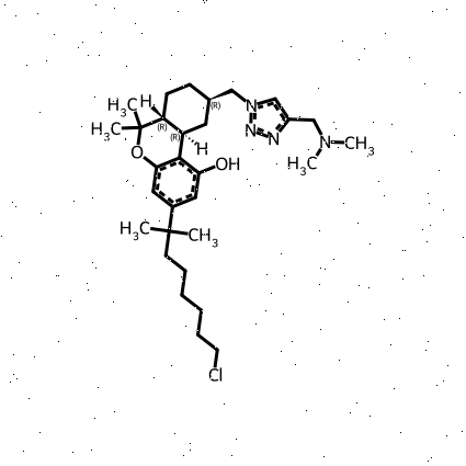 CN(C)Cc1cn(C[C@@H]2CC[C@@H]3[C@@H](C2)c2c(O)cc(C(C)(C)CCCCCCCl)cc2OC3(C)C)nn1